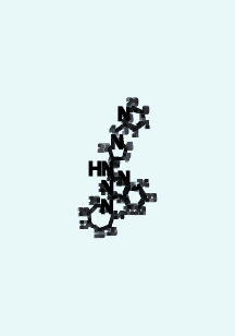 c1ccc(CN2CC[C@H](Nc3nc(N4CCCCCC4)c4ccccc4n3)C2)nc1